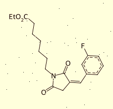 CCOC(=O)CCCCCCN1C(=O)CC(=Cc2cccc(F)c2)C1=O